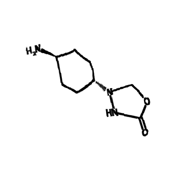 N[C@H]1CC[C@H](N2COC(=O)N2)CC1